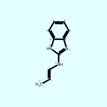 CC=CNc1nc2ccccc2[nH]1